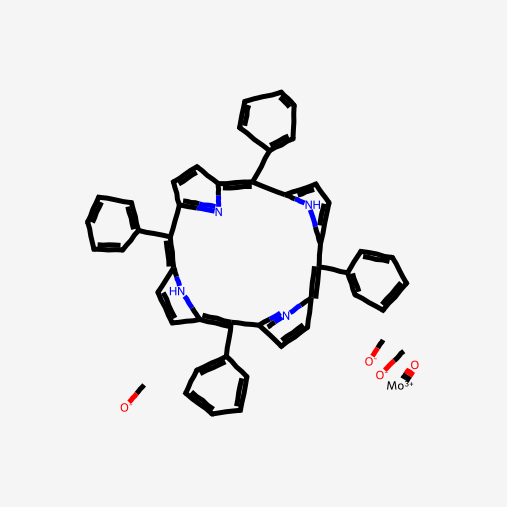 C1=Cc2nc1c(-c1ccccc1)c1ccc([nH]1)c(-c1ccccc1)c1nc(c(-c3ccccc3)c3ccc([nH]3)c2-c2ccccc2)C=C1.C[O-].C[O-].C[O-].[O]=[Mo+3]